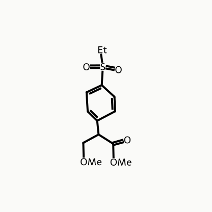 CCS(=O)(=O)c1ccc(C(COC)C(=O)OC)cc1